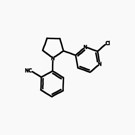 N#Cc1ccccc1N1CCCC1c1ccnc(Cl)n1